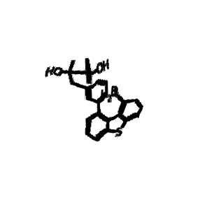 Bc1cccc2sc3cccc(-c4cccc(CC(C)(O)C(C)(C)O)c4)c3c12